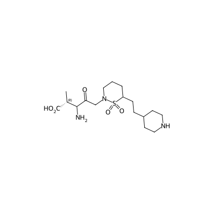 C[C@@H](C(=O)O)C(N)C(=O)CN1CCCC(CCC2CCNCC2)S1(=O)=O